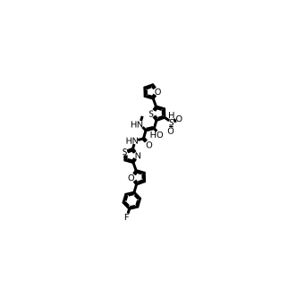 CN/C(C(=O)Nc1nc(-c2ccc(-c3ccc(F)cc3)o2)cs1)=C(/O)c1sc(-c2ccco2)cc1[SH](=O)=O